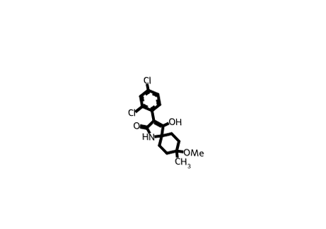 COC1(C)CCC2(CC1)NC(=O)C(c1ccc(Cl)cc1Cl)=C2O